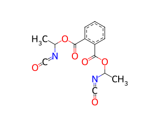 CC(N=C=O)OC(=O)c1ccccc1C(=O)OC(C)N=C=O